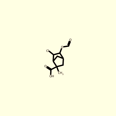 CC1(C(=O)O)CC2CC1C(Cl)C2OC=O